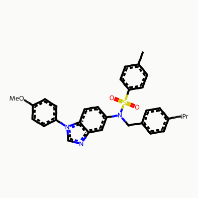 COc1ccc(-n2cnc3cc(N(Cc4ccc(C(C)C)cc4)S(=O)(=O)c4ccc(C)cc4)ccc32)cc1